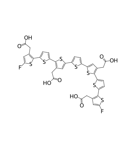 O=C(O)Cc1cc(F)sc1-c1ccc(-c2sc(-c3ccc(-c4cc(CC(=O)O)c(-c5ccc(-c6sc(F)cc6CC(=O)O)s5)s4)s3)cc2CC(=O)O)s1